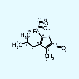 CC1=CC[C]([Fe])=C1CC(C)C.[C]=O.[C]=O.[C]=O